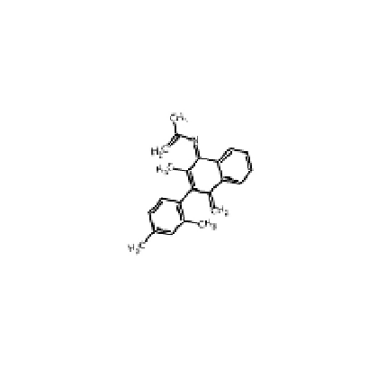 C=C(C)/N=C1\C(C)=C(c2ccc(C)cc2C)C(=C)c2ccccc21